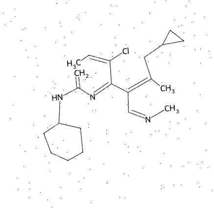 C=C(/N=C(C(/C=N\C)=C(C)CC1CC1)\C(Cl)=C/C)NC1CCCCC1